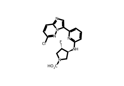 O=C(O)N1C[C@H](Nc2cccc(-c3cnc4ccc(Cl)nn34)n2)[C@@H](F)C1